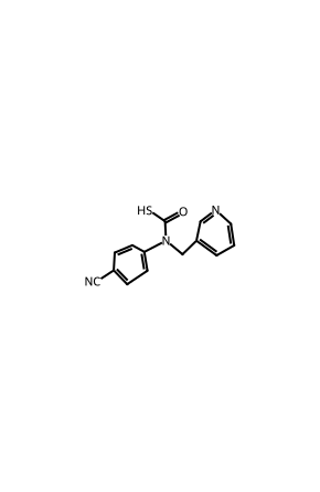 N#Cc1ccc(N(Cc2cccnc2)C(=O)S)cc1